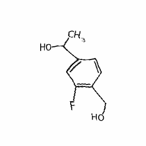 CC(O)c1ccc(CO)c(F)c1